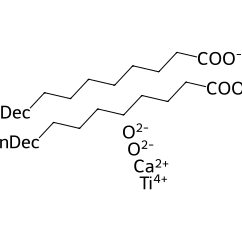 CCCCCCCCCCCCCCCCCC(=O)[O-].CCCCCCCCCCCCCCCCCC(=O)[O-].[Ca+2].[O-2].[O-2].[Ti+4]